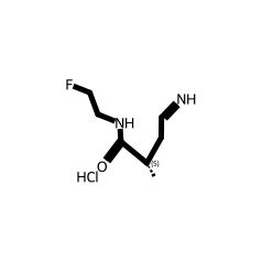 C[C@@H](CC=N)C(=O)NCCF.Cl